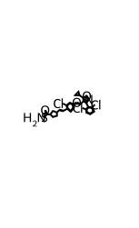 NSC(=O)C1CCC(/C=C/c2ccc(OCc3c(-c4c(Cl)cccc4Cl)noc3C3CC3)cc2Cl)C1